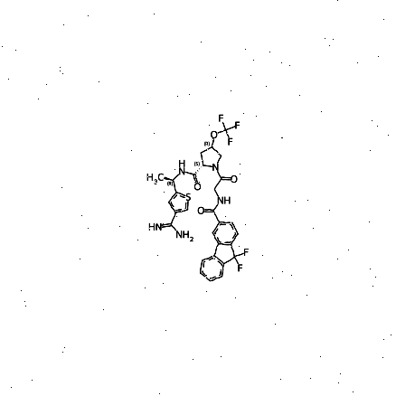 C[C@@H](NC(=O)[C@@H]1C[C@@H](OC(F)(F)F)CN1C(=O)CNC(=O)c1ccc2c(c1)-c1ccccc1C2(F)F)c1cc(C(=N)N)cs1